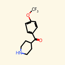 O=C(c1ccc(OC(F)(F)F)cc1)C1CCNCC1